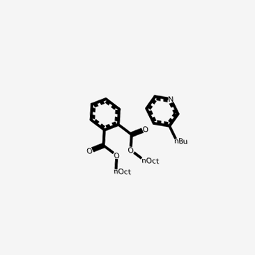 CCCCCCCCOC(=O)c1ccccc1C(=O)OCCCCCCCC.CCCCc1cccnc1